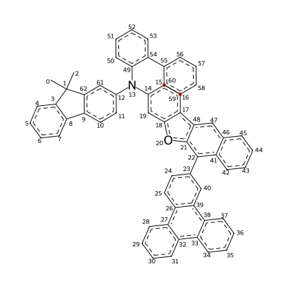 CC1(C)c2ccccc2-c2ccc(N(c3ccc4c(c3)oc3c(-c5ccc6c7ccccc7c7ccccc7c6c5)c5ccccc5cc34)c3ccccc3-c3ccccc3)cc21